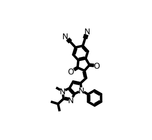 CC(C)c1nc2c(cc(C=C3C(=O)c4cc(C#N)c(C#N)cc4C3=O)n2-c2ccccc2)n1C